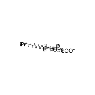 CC(C)CCCCCCCCCCCCCC=COC(=O)CCC(=O)[O-].[Li+]